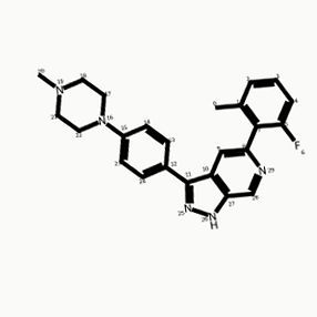 Cc1cccc(F)c1-c1cc2c(-c3ccc(N4CCN(C)CC4)cc3)n[nH]c2cn1